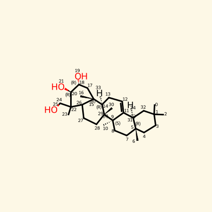 CC1(C)CC[C@]2(C)CC[C@]3(C)C(=CC[C@@H]4[C@@]5(C)C[C@@H](O)[C@H](O)C(C)(CO)C5CC[C@]43C)[C@H]2C1